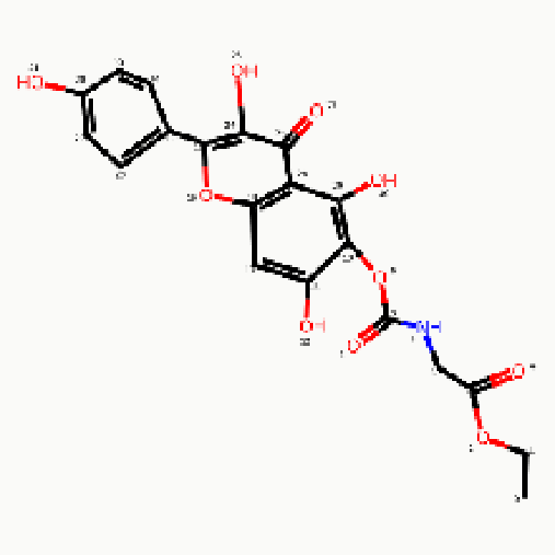 CCOC(=O)CNC(=O)Oc1c(O)cc2oc(-c3ccc(O)cc3)c(O)c(=O)c2c1O